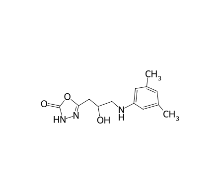 Cc1cc(C)cc(NCC(O)Cc2n[nH]c(=O)o2)c1